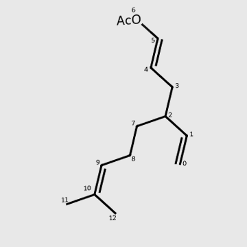 C=CC(CC=COC(C)=O)CCC=C(C)C